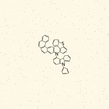 C1=CCC2C(=C1)N(c1ccccc1)c1cccc(N(c3ccc4c(ccc5ccc6ccccc6c54)c3)c3cccc4sc5ccccc5c34)c12